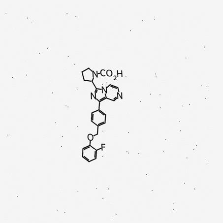 O=C(O)N1CCCC1c1nc(-c2ccc(COc3ccccc3F)cc2)c2cnccn12